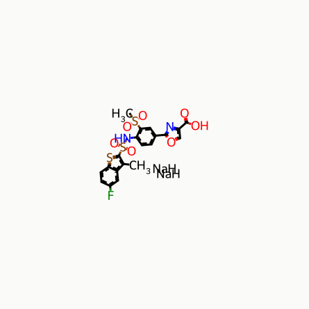 Cc1c(S(=O)(=O)Nc2ccc(-c3nc(C(=O)O)co3)cc2S(C)(=O)=O)sc2ccc(F)cc12.[NaH].[NaH]